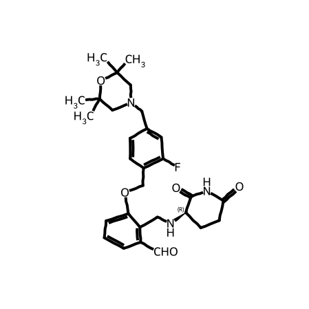 CC1(C)CN(Cc2ccc(COc3cccc(C=O)c3CN[C@@H]3CCC(=O)NC3=O)c(F)c2)CC(C)(C)O1